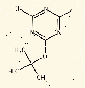 CC(C)(C)Oc1nc(Cl)nc(Cl)n1